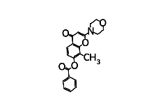 Cc1c(OC(=O)c2ccccc2)ccc2c(=O)cc(N3CCOCC3)oc12